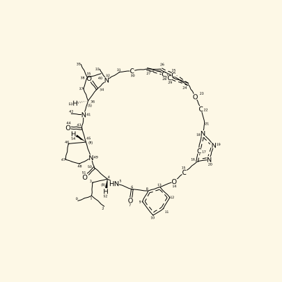 CC(C)C[C@H]1NC(=O)c2ccccc2OCc2cn(nn2)CCOc2ccc(cc2)CCN(C)C(=O)[C@H](CC(C)C)N(C)C(=O)[C@H]2CCCN2C1=O